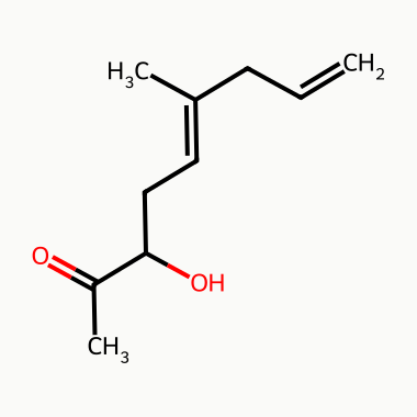 C=CCC(C)=CCC(O)C(C)=O